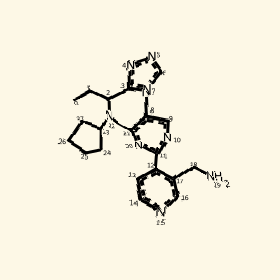 CCC1c2nncn2-c2cnc(-c3ccncc3CN)nc2N1C1CCCC1